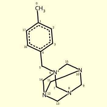 Cc1ccc(C[N+]23CN4CN(CN(C4)C2)C3)cc1